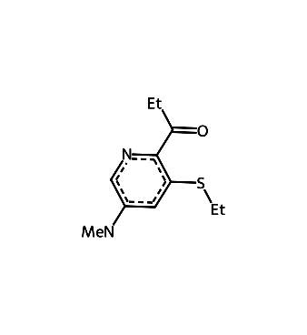 CCSc1cc(NC)cnc1C(=O)CC